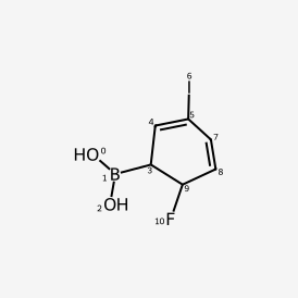 OB(O)C1C=C(I)C=CC1F